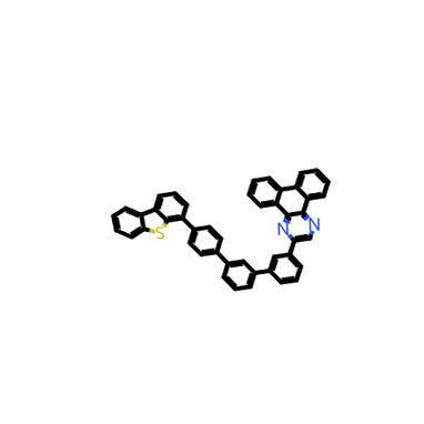 c1cc(-c2ccc(-c3cccc4c3sc3ccccc34)cc2)cc(-c2cccc(-c3cnc4c5ccccc5c5ccccc5c4n3)c2)c1